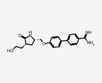 N=C(N)c1ccc(-c2ccc(OC[C@@H]3C[C@@H](CCO)C(=O)N3)cc2)cc1